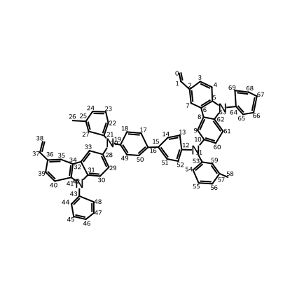 C=Cc1ccc2c(c1)c1cc(N(c3ccc(-c4ccc(N(c5cccc(C)c5)c5ccc6c(c5)c5cc(C=C)ccc5n6-c5ccccc5)cc4)cc3)c3cccc(C)c3)ccc1n2-c1ccccc1